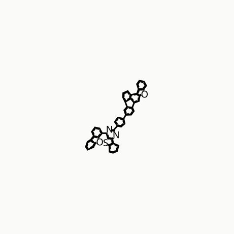 c1ccc2c(c1)oc1c(-c3nc(-c4ccc(-c5ccc6c(c5)-c5cccc7c5c-6cc5oc6ccccc6c57)cc4)nc4c3sc3ccccc34)cccc12